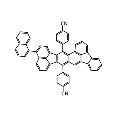 N#Cc1ccc(-c2c3cc4c5ccccc5c5cccc(c3c(-c3ccc(C#N)cc3)c3c6ccc(-c7cccc8ccccc78)c7cccc(c23)c76)c54)cc1